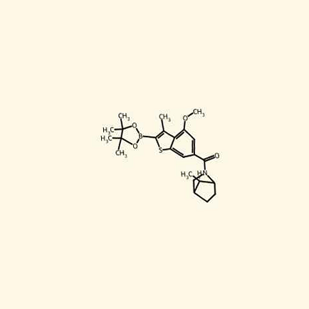 COc1cc(C(=O)N2CC3CCC2[C@@H]3C)cc2sc(B3OC(C)(C)C(C)(C)O3)c(C)c12